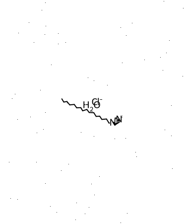 CCCCCCCCCCCCCCCC[n+]1ccn(C)c1.O.[Cl-]